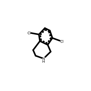 Clc1ccc(Cl)c2c1CCNC2